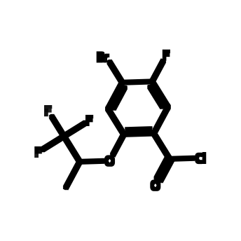 CC(Oc1cc(Br)c(F)cc1C(=O)Cl)C(F)(F)F